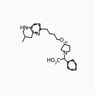 CC1CNc2ccc(CCCCO[C@@H]3CCN(C(C(=O)O)c4ccccc4)C3)nc2C1